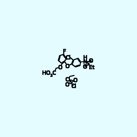 CC.CCS(=O)(=O)Nc1ccc(Oc2cc(F)ccc2OCC(=O)O)c(Cl)c1.O=S(=O)(Cl)Cl